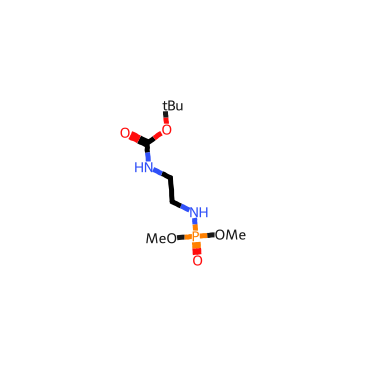 COP(=O)(NCCNC(=O)OC(C)(C)C)OC